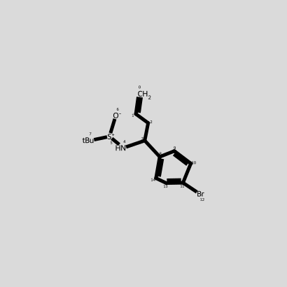 C=CCC(N[S+]([O-])C(C)(C)C)c1ccc(Br)cc1